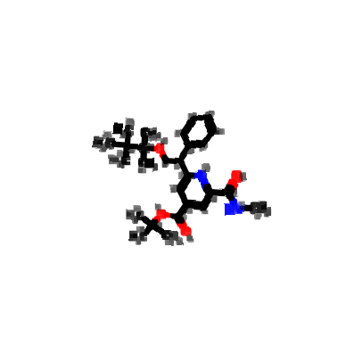 CNC(=O)c1cc(C(=O)OC(C)(C)C)cc(C(CO[Si](C)(C)C(C)(C)C)c2ccccc2)n1